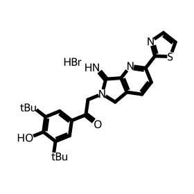 Br.CC(C)(C)c1cc(C(=O)CN2Cc3ccc(-c4nccs4)nc3C2=N)cc(C(C)(C)C)c1O